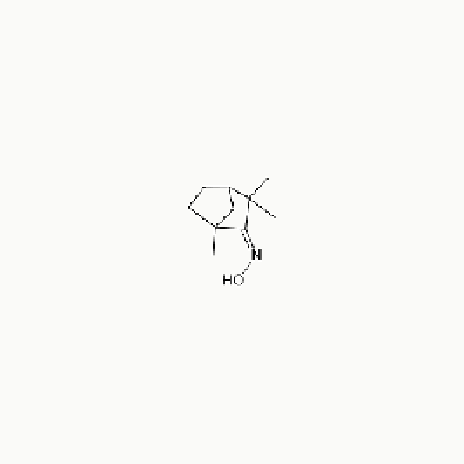 CC12CCC(C1)C(C)(C)/C2=N/O